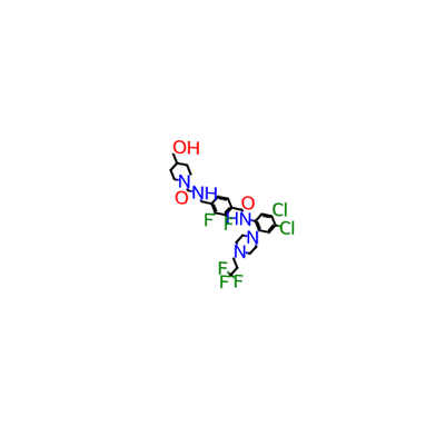 O=C(Nc1cc(Cl)c(Cl)cc1N1CCN(CCC(F)(F)F)CC1)c1ccc(CNC(=O)N2CCC(CO)CC2)c(F)c1F